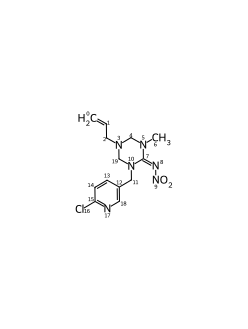 C=CCN1CN(C)C(=N[N+](=O)[O-])N(Cc2ccc(Cl)nc2)C1